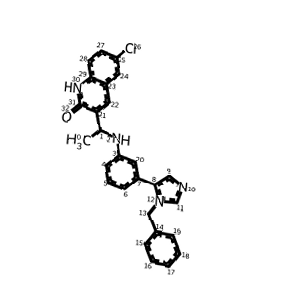 CC(Nc1cccc(-c2cncn2Cc2ccccc2)c1)c1cc2cc(Cl)ccc2[nH]c1=O